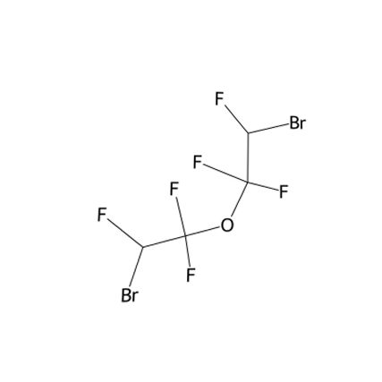 FC(Br)C(F)(F)OC(F)(F)C(F)Br